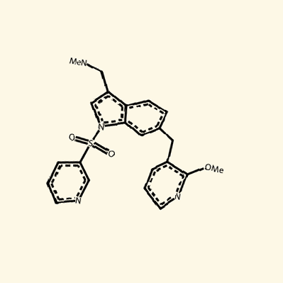 CNCc1cn(S(=O)(=O)c2cccnc2)c2cc(Cc3cccnc3OC)ccc12